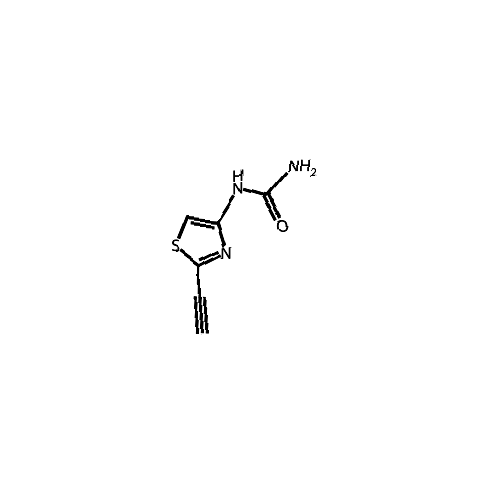 C#Cc1nc(NC(N)=O)cs1